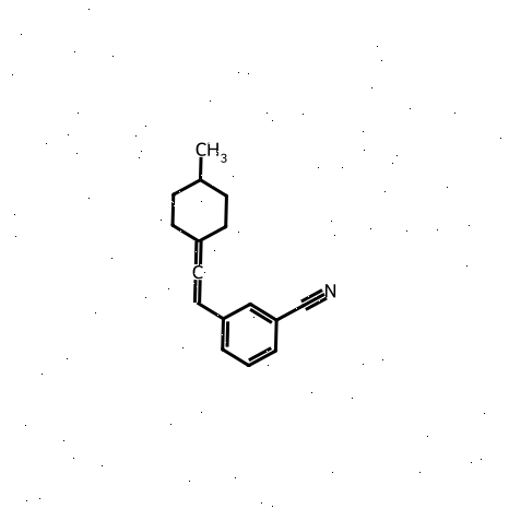 CC1CCC(=C=Cc2cccc(C#N)c2)CC1